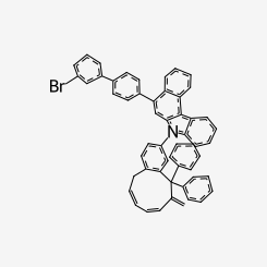 C=C1/C=C\C=C/Cc2ccc(-n3c4ccccc4c4c5ccccc5c(-c5ccc(-c6cccc(Br)c6)cc5)cc43)cc2C1(c1ccccc1)c1ccccc1